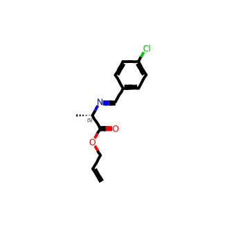 C=CCOC(=O)[C@H](C)N=Cc1ccc(Cl)cc1